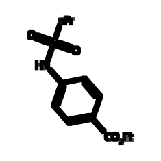 CCCS(=O)(=O)Nc1ccc(C(=O)OCC)cc1